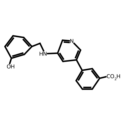 O=C(O)c1cccc(-c2cncc(NCc3cccc(O)c3)c2)c1